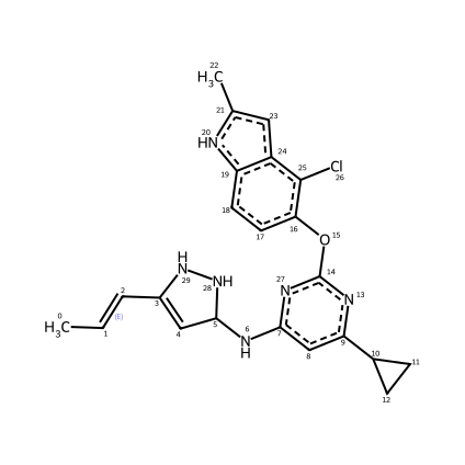 C/C=C/C1=CC(Nc2cc(C3CC3)nc(Oc3ccc4[nH]c(C)cc4c3Cl)n2)NN1